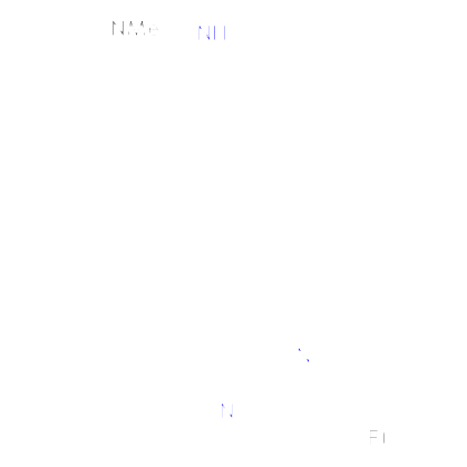 CCC1=NC(C2C=CC3=C(CCC3/C(C=N)=C/NC)C2)=NC1